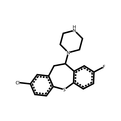 Fc1ccc2c(c1)C(N1CCNCC1)Cc1cc(Cl)ccc1S2